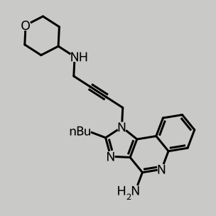 CCCCc1nc2c(N)nc3ccccc3c2n1CC#CCNC1CCOCC1